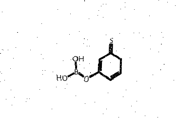 OB(O)OC1=CC(=S)CC=C1